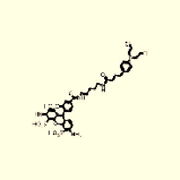 N=c1ccc2c(-c3ccc(C(=O)NCCCCCNC(=O)CCCc4ccc(N(CCCl)CCCl)cc4)cc3C(=O)O)c3ccc(N)c(S(=O)(=O)O)c3oc-2c1S(=O)(=O)O